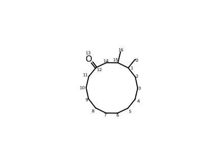 CC1CCCCCCCCCCC(=O)CC1C